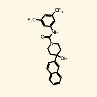 O=C(Nc1cc(C(F)(F)F)cc(C(F)(F)F)c1)N1CCC(O)(c2ccc3ccccc3c2)CC1